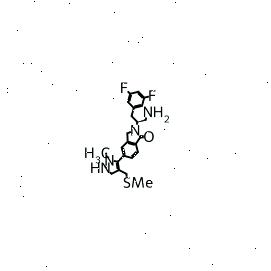 CSCC1=C(c2ccc3c(c2)CN([C@H](CN)Cc2cc(F)cc(F)c2)C3=O)N(C)NC1